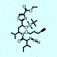 C#CCCCON(C(=O)C(N=[N+]=[N-])C(C)CC)C(CC(O[Si](C)(C)C(C)(C)C)c1nc(C(=O)OCC)cs1)C(C)C